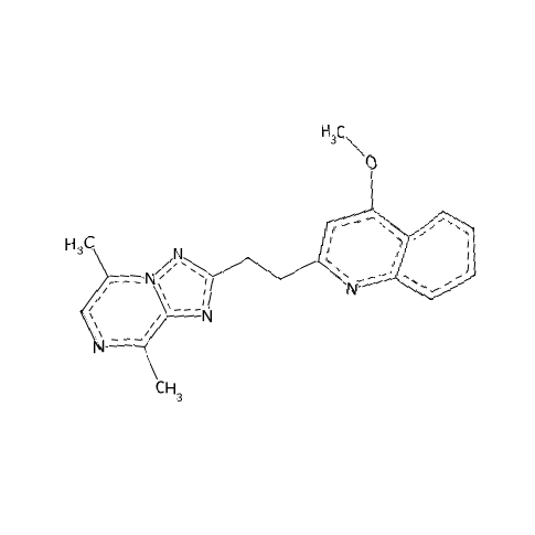 COc1cc(CCc2nc3c(C)ncc(C)n3n2)nc2ccccc12